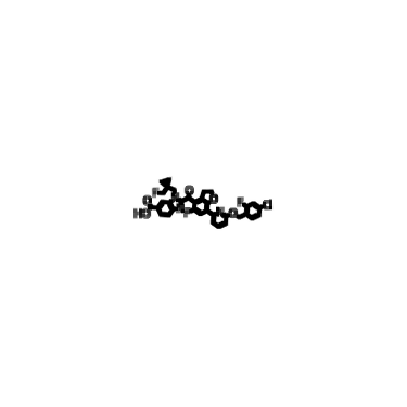 O=C(O)c1ccc2nc(C(=O)c3c(F)cc(-c4cccc(OCc5ccc(Cl)cc5F)n4)c4c3CCO4)n(CC3(CF)CC3)c2c1